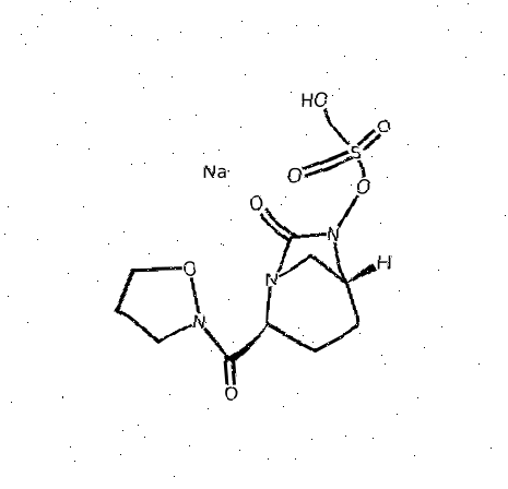 O=C([C@@H]1CC[C@@H]2CN1C(=O)N2OS(=O)(=O)O)N1CCCO1.[Na]